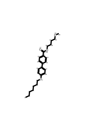 CCCCCCCOc1ccc(-c2ccc(C(=O)OCCCCOC)cc2)cc1